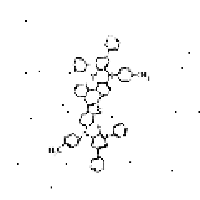 Cc1ccc(N(c2ccc3c(c2)c2ccccc2c2c4c(sc32)=C[C@@H](N(c2ccc(C)cc2)c2cc(-c3ccccc3)cc(-c3ccccc3)c2F)CC=4)c2cc(C3=CC=CCC3)cc(C3C=CC=CC3)c2F)cc1